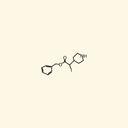 O=C(OCc1ccccc1)C(I)C1CCNCC1